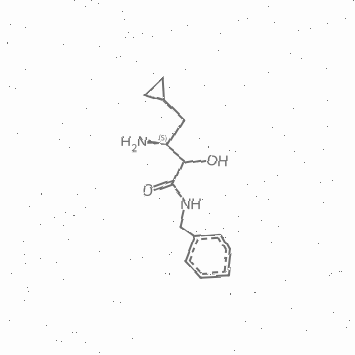 N[C@@H](CC1CC1)C(O)C(=O)NCc1ccccc1